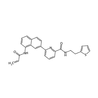 C=CC(=O)Nc1cccc2ccc(-c3cccc(C(=O)NCCc4cccs4)n3)cc12